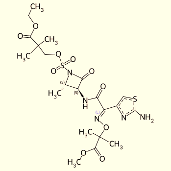 CCOC(=O)C(C)(C)COS(=O)(=O)N1C(=O)[C@@H](NC(=O)/C(=N/OC(C)(C)C(=O)OC)c2csc(N)n2)[C@@H]1C